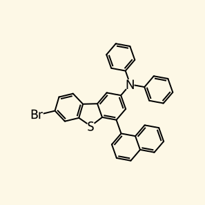 Brc1ccc2c(c1)sc1c(-c3cccc4ccccc34)cc(N(c3ccccc3)c3ccccc3)cc12